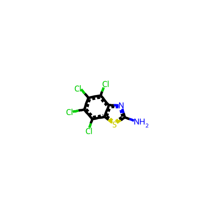 Nc1nc2c(Cl)c(Cl)c(Cl)c(Cl)c2s1